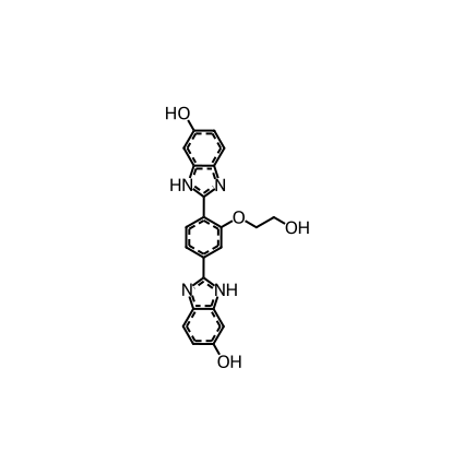 OCCOc1cc(-c2nc3ccc(O)cc3[nH]2)ccc1-c1nc2ccc(O)cc2[nH]1